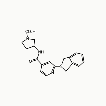 O=C(NC1CCN(C(=O)O)C1)c1ccnc(N2Cc3ccccc3C2)c1